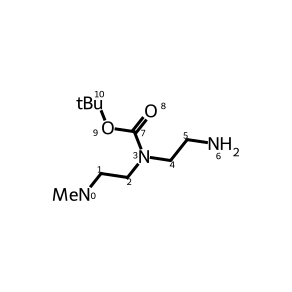 CNCCN(CCN)C(=O)OC(C)(C)C